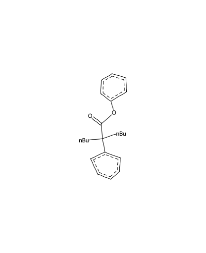 CCCCC(CCCC)(C(=O)Oc1ccccc1)c1ccccc1